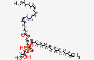 CCCCC/C=C\C/C=C\C/C=C\C/C=C\CCCCCC(=O)OC[C@H](COP(=O)(O)OC[C@@H](O)CO)OC(=O)CCCCCCCCCCCCCCCCC